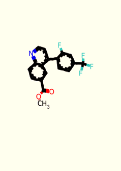 COC(=O)c1ccc2nccc(-c3ccc(C(F)(F)F)cc3F)c2c1